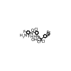 CS(F)(F)(F)(F)c1ccc(C2C(Cl)(Cl)C2(C=O)CNc2ccc(Cl)c(C(=O)Nc3ccc(F)c(N)c3F)c2)cc1